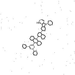 C1=Cc2c(c3cc(-c4ccc(-c5c6ccccc6c(C6=CC(c7ccccc7)=CC(c7ccccc7)C6)c6ccccc56)c5ccccc45)ccc3n2-c2ccccc2)NC1